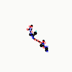 COC[C@H]1CN(C(=O)OC(C)(C)C)[C@H](C)CN1CC(=O)N1CC(C)(C)c2nc(CN(C)CCOCCOCCOCCN(C[C@@H](C(=O)Nc3ccc4cnccc4c3)c3ccccc3)C(=O)OC(C)(C)C)c(Cc3ccc(F)cc3)cc21